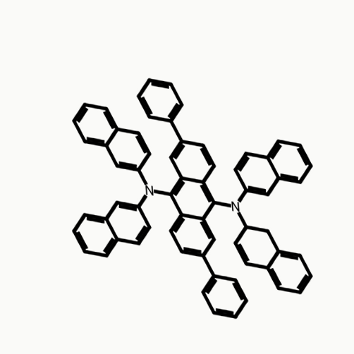 C1=CC(N(c2ccc3ccccc3c2)c2c3ccc(-c4ccccc4)cc3c(N(c3ccc4ccccc4c3)c3ccc4ccccc4c3)c3ccc(-c4ccccc4)cc23)Cc2ccccc21